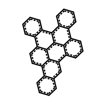 c1ccc2c(c1)cc1c3cccc4c5ccccc5c5c6ccccc6c6ccc2c1c6c5c43